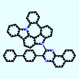 c1ccc(-c2ccc(-c3nc4ccc5ccccc5c4nc3-n3c4cccc5c6ccccc6n6c7ccccc7c7ccc3c(c54)c76)cc2)cc1